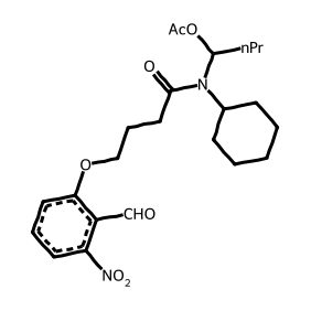 CCCC(OC(C)=O)N(C(=O)CCCOc1cccc([N+](=O)[O-])c1C=O)C1CCCCC1